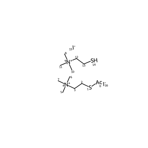 CC(=O)SCC[N+](C)(C)C.C[N+](C)(C)CCS.[I-].[I-]